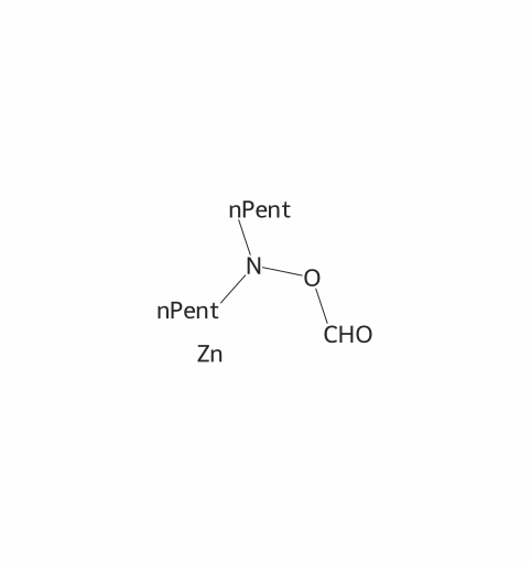 CCCCCN(CCCCC)OC=O.[Zn]